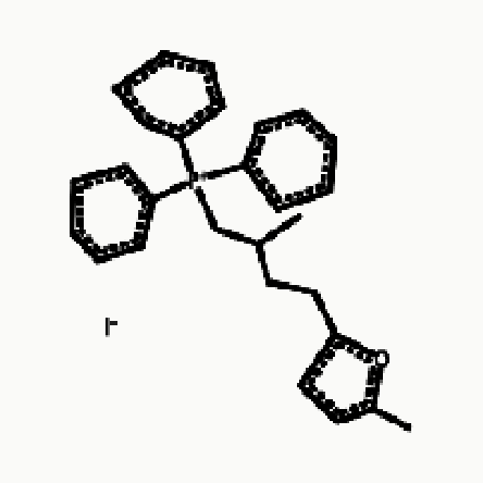 Cc1ccc(CCC(C)C[P+](c2ccccc2)(c2ccccc2)c2ccccc2)o1.[I-]